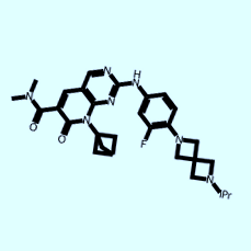 CC(C)N1CC2(CN(c3ccc(Nc4ncc5cc(C(=O)N(C)C)c(=O)n(C67CC(C6)C7)c5n4)cc3F)C2)C1